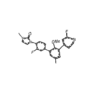 COc1c(-c2ccnc(F)c2)cc(C)cc1-c1ccc(-n2ccn(C)c2=O)c(F)c1